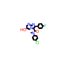 CN(C(=O)c1c(-c2ccc(F)cc2)nc2ncc(O)cn12)c1ccc(Cl)cc1